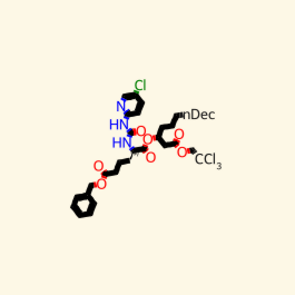 CCCCCCCCCCCCCC(CC(=O)OCC(Cl)(Cl)Cl)OC(=O)[C@H](CCCC(=O)OCc1ccccc1)NC(=O)Nc1ccc(Cl)cn1